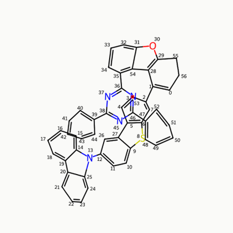 C1=C(c2ccc3c(c2)sc2ccc(-n4c5ccccc5c5ccccc54)cc23)c2c(oc3cccc(-c4nc(-c5ccccc5)nc(-c5ccccc5)n4)c23)CC1